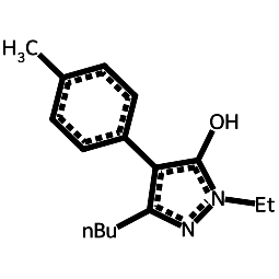 CCCCc1nn(CC)c(O)c1-c1ccc(C)cc1